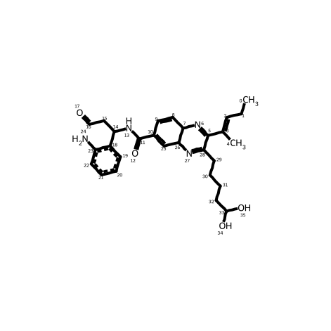 CC/C=C(\C)C1=NC2C=CC(C(=O)NC(CC=O)c3ccccc3N)=CC2N=C1CCCCC(O)O